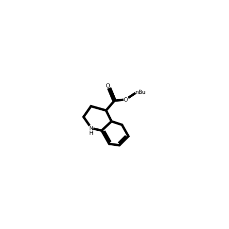 CCCCOC(=O)C1CCNC2=CC=CCC21